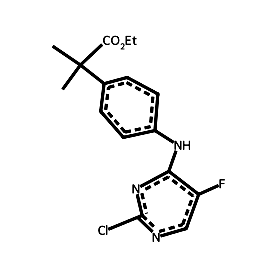 CCOC(=O)C(C)(C)c1ccc(Nc2nc(Cl)ncc2F)cc1